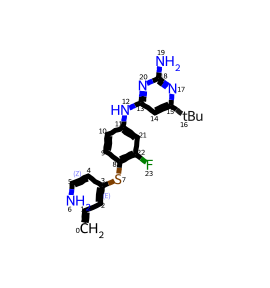 C=C/C=C(\C=C/N)Sc1ccc(Nc2cc(C(C)(C)C)nc(N)n2)cc1F